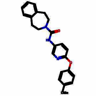 COc1ccc(Oc2ccc(NC(=O)N3CCc4ccccc4CC3)cn2)cc1